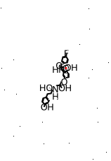 O=S(=O)(Nc1cc(OCC(O)CN[C@@H](O)CCc2ccc(O)cc2)ccc1O)c1ccc(F)cc1